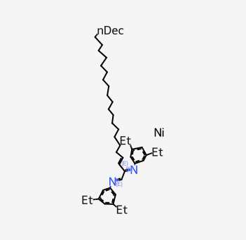 CCCCCCCCCCCCCCCCCCCCCCCCCCC/C=C/C(/C=N/c1cc(CC)cc(CC)c1)=N\c1cc(CC)cc(CC)c1.[Ni]